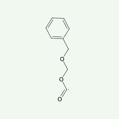 O=[C]OCOCc1ccccc1